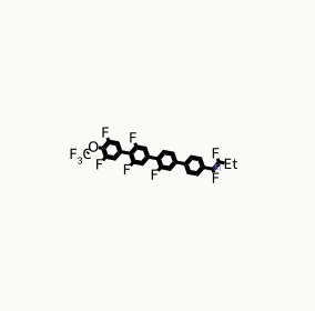 CC/C(F)=C(\F)c1ccc(-c2ccc(-c3cc(F)c(-c4cc(F)c(OC(F)(F)F)c(F)c4)c(F)c3)c(F)c2)cc1